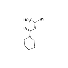 CC(C)C(=CC(=O)N1CCCCC1)C(=O)O